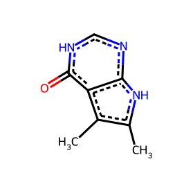 Cc1[nH]c2nc[nH]c(=O)c2c1C